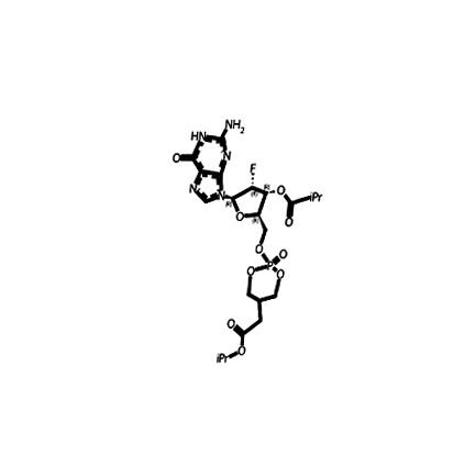 CC(C)OC(=O)CC1COP(=O)(OC[C@H]2O[C@@H](n3cnc4c(=O)[nH]c(N)nc43)[C@H](F)[C@@H]2OC(=O)C(C)C)OC1